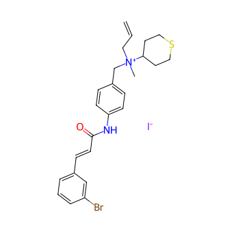 C=CC[N+](C)(Cc1ccc(NC(=O)C=Cc2cccc(Br)c2)cc1)C1CCSCC1.[I-]